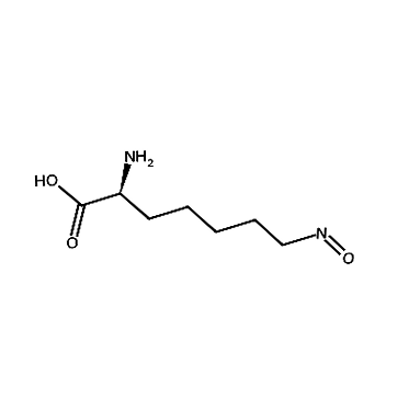 N[C@@H](CCCCCN=O)C(=O)O